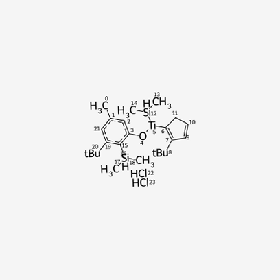 Cc1cc([O][Ti]([C]2=C(C(C)(C)C)C=CC2)[SiH](C)C)c([SiH](C)C)c(C(C)(C)C)c1.Cl.Cl